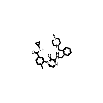 Cc1ccc(C(=O)NC2CC2)cc1-n1ccnc(NCc2ccccc2CN2CCN(C)CC2)c1=O